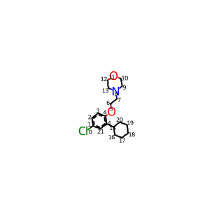 Clc1ccc(OCCN2CCOCC2)c(C2CCCCC2)c1